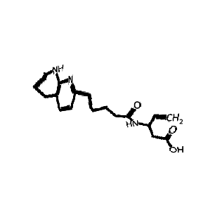 C=CC(CC(=O)O)NC(=O)CCCCc1ccc2c(n1)NCCC2